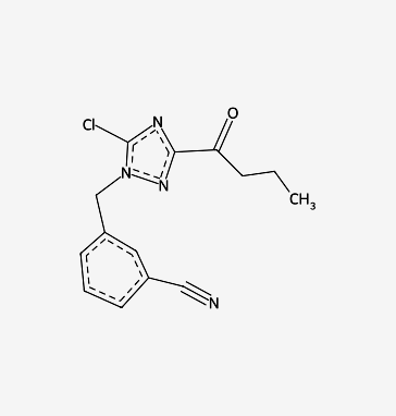 CCCC(=O)c1nc(Cl)n(Cc2cccc(C#N)c2)n1